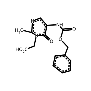 Cc1ncc(NC(=O)OCc2ccccc2)c(=O)n1CC(=O)O